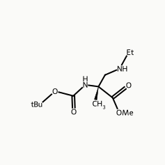 CCNC[C@@](C)(NC(=O)OC(C)(C)C)C(=O)OC